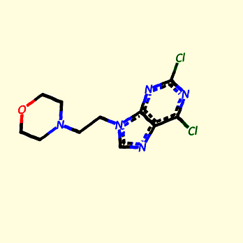 Clc1nc(Cl)c2ncn(CCN3CCOCC3)c2n1